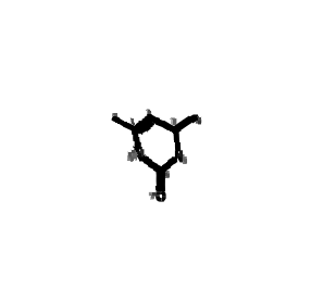 CC1=CC(C)[N]C(=O)[N]1